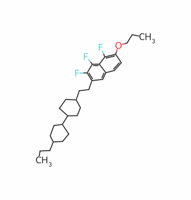 CCCOc1ccc2cc(CCC3CCC(C4CCC(CCC)CC4)CC3)c(F)c(F)c2c1F